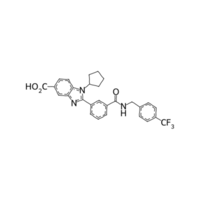 O=C(O)c1ccc2c(c1)nc(-c1cccc(C(=O)NCc3ccc(C(F)(F)F)cc3)c1)n2C1CCCC1